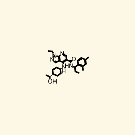 CCC(NC(=O)c1cnc2c(cnn2CC)c1N[C@H]1CC[C@@H](C(C)O)CC1)c1ccc(C)cc1C